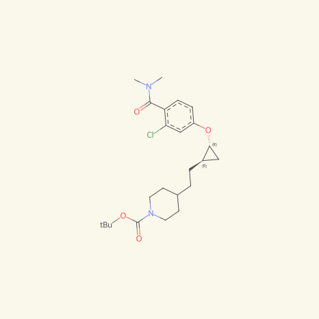 CN(C)C(=O)c1ccc(O[C@@H]2C[C@H]2CCC2CCN(C(=O)OC(C)(C)C)CC2)cc1Cl